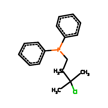 CC(C)(Cl)[SiH2]CP(c1ccccc1)c1ccccc1